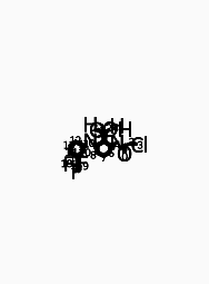 O=C(CCl)Nc1cccc(Nc2cccc(C(F)(F)F)c2)c1C(=O)O